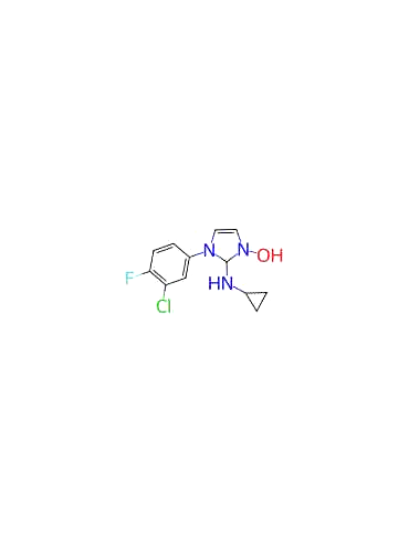 ON1C=CN(c2ccc(F)c(Cl)c2)C1NC1CC1